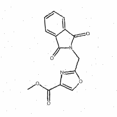 COC(=O)c1coc(CN2C(=O)c3ccccc3C2=O)n1